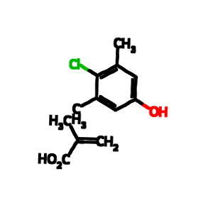 C=C(C)C(=O)O.Cc1cc(O)cc(C)c1Cl